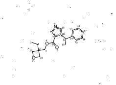 CCC1(COC(=O)c2cncn2C(C)c2ccccc2)COC1